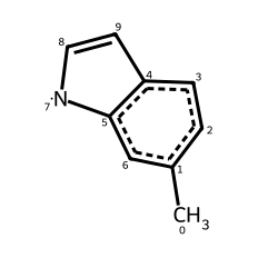 Cc1ccc2c(c1)[N]C=C2